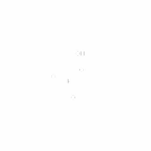 OOP(Oc1ccccc1)Oc1ccccc1